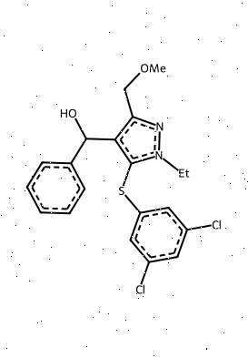 CCn1nc(COC)c(C(O)c2ccccc2)c1Sc1cc(Cl)cc(Cl)c1